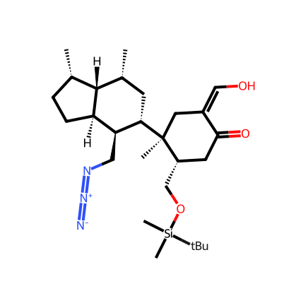 C[C@@H]1C[C@H]([C@@]2(C)CC(=CO)C(=O)C[C@@H]2CO[Si](C)(C)C(C)(C)C)[C@@H](CN=[N+]=[N-])[C@H]2CC[C@H](C)[C@@H]21